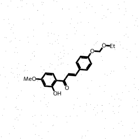 CCOCOc1ccc(/C=C/C(=O)c2ccc(OC)cc2O)cc1